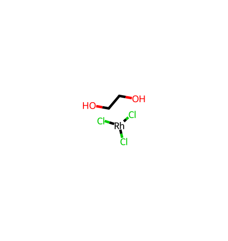 OCCO.[Cl][Rh]([Cl])[Cl]